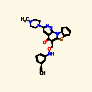 C#Cc1cccc(NOCc2c(=O)c3cc(N4CCN(C)CC4)nnc3n3c2sc2ccccc23)c1